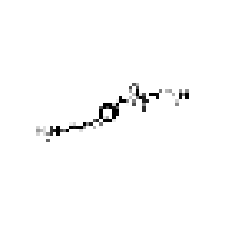 NCCCCOc1ccc(COC(=O)NCC(=O)O)cc1